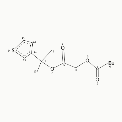 CCC(C)C(=O)OCC(=O)OC(C)(C)c1ccsc1